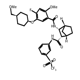 COC[C@H]1CC[C@@H](Oc2cc(C(=O)N[C@@H]3[C@@H]4CC[C@@H](C4)[C@@H]3C(=O)Nc3cccc(S(=O)(=O)C(F)(F)F)c3)c(OC)cc2F)CC1